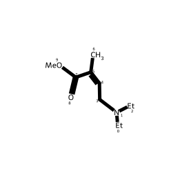 CCN(CC)CC=C(C)C(=O)OC